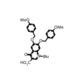 COc1ccc(COc2cc3c(=O)c(C(=O)O)cn(C(C)(C)C)c3cc2OCc2ccc(OC)cc2)cc1